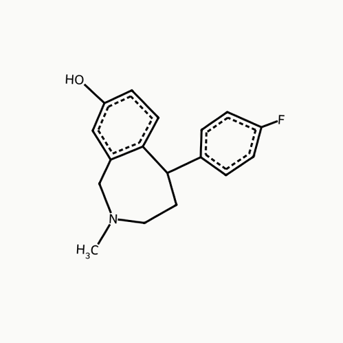 CN1CCC(c2ccc(F)cc2)c2ccc(O)cc2C1